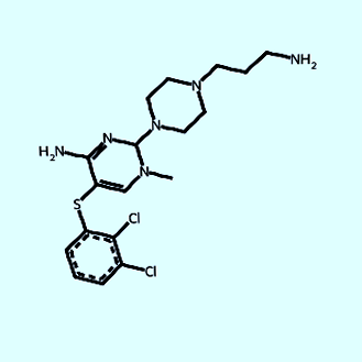 CN1C=C(Sc2cccc(Cl)c2Cl)C(N)=NC1N1CCN(CCCN)CC1